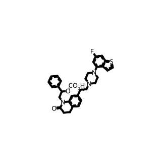 O=C(O)OC(CN1C(=O)CCc2ccc(CCN3CCN(c4cc(F)cc5sccc45)CC3)cc21)c1ccccc1